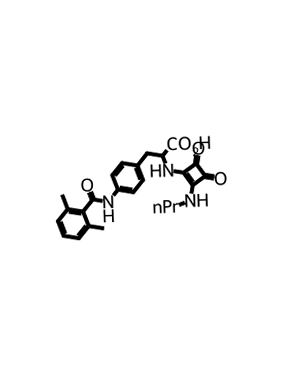 CCCNc1c(NC(Cc2ccc(NC(=O)c3c(C)cccc3C)cc2)C(=O)O)c(=O)c1=O